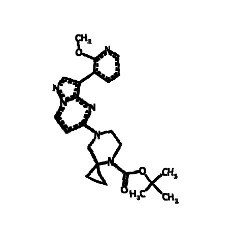 COc1ncccc1-c1cnn2ccc(N3CCN(C(=O)OC(C)(C)C)C4(CC4)C3)nc12